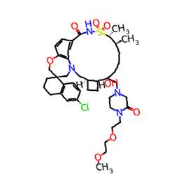 COCCOCCN1CCN(C[C@@]2(O)CCC[C@H](C)[C@@H](C)S(=O)(=O)NC(=O)c3ccc4c(c3)N(C[C@@H]3CC[C@H]32)C[C@@]2(CCCc3cc(Cl)ccc32)CO4)CC1=O